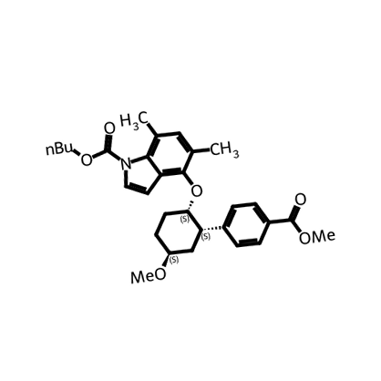 CCCCOC(=O)n1ccc2c(O[C@H]3CC[C@H](OC)C[C@H]3c3ccc(C(=O)OC)cc3)c(C)cc(C)c21